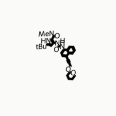 CNC(=O)c1[nH]c(C(C)(C)C)cc1NC(=O)Nc1ccc(C#CCOC2CCCCO2)c2ccccc12